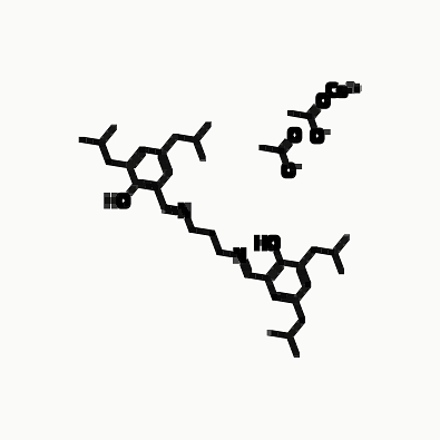 CC(=O)[O-].CC(=O)[O-].CC(C)Cc1cc(C=NCCCN=Cc2cc(CC(C)C)cc(CC(C)C)c2O)c(O)c(CC(C)C)c1.[Co+2]